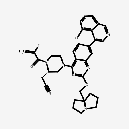 C=C(F)C(=O)N1CCN(c2nc(OCC34CCCN3CCC4)nc3cc(-c4cncc5cccc(Cl)c45)ccc23)C[C@@H]1CC#N